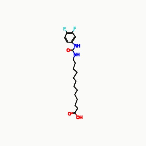 O=C(O)CCCCCCCCCCCCNC(=O)Nc1ccc(F)c(F)c1